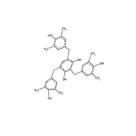 Cc1cc(Cc2cc(Cc3cc(C)c(O)c(C)c3)c(O)c(Cc3cc(C)c(O)c(C)c3)c2O)cc(C)c1O